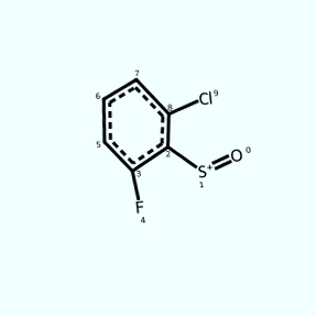 O=[S+]c1c(F)cccc1Cl